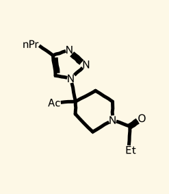 CCCc1cn(C2(C(C)=O)CCN(C(=O)CC)CC2)nn1